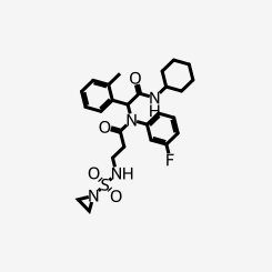 Cc1ccccc1C(C(=O)NC1CCCCC1)N(C(=O)CCNS(=O)(=O)N1CC1)c1cccc(F)c1